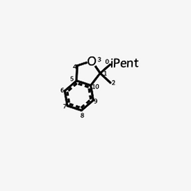 CCCC(C)C1(C)OCc2ccccc21